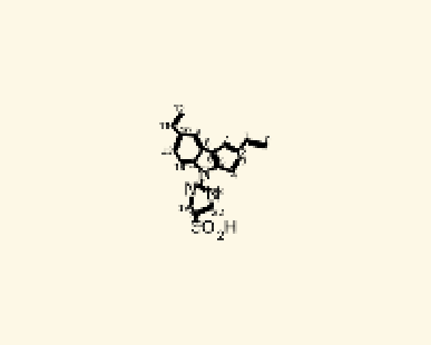 C=Cc1ccc2c(c1)c1cc(C=C)ccc1n2-c1ncc(C(=O)O)cn1